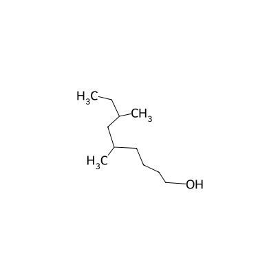 CCC(C)CC(C)CCCCO